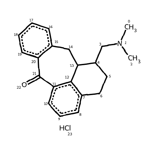 CN(C)CC1CCc2cccc3c2C1Cc1ccccc1C3=O.Cl